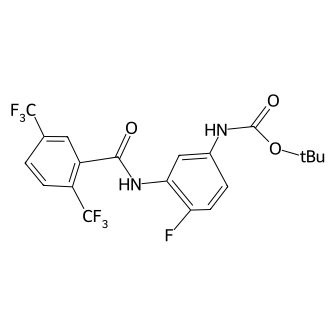 CC(C)(C)OC(=O)Nc1ccc(F)c(NC(=O)c2cc(C(F)(F)F)ccc2C(F)(F)F)c1